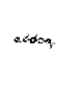 O=C1O[C@@H](Cn2ccnc2)CN1c1ccc(N2CCN(c3ccc([N+](=O)[O-])s3)CC2)c(F)c1